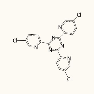 Clc1ccc(-c2nc(-c3ccc(Cl)cn3)nc(-c3ccc(Cl)cn3)n2)nc1